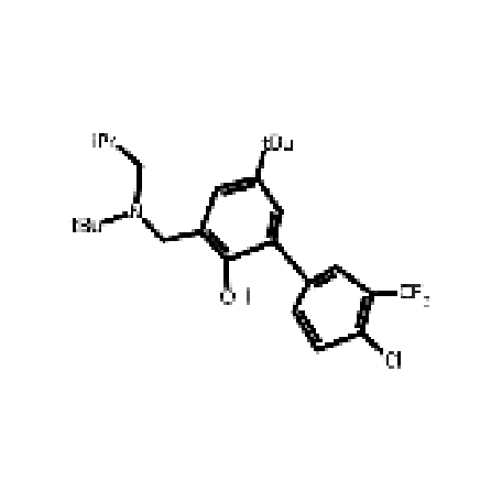 CC(C)CN(Cc1cc(C(C)(C)C)cc(-c2ccc(Cl)c(C(F)(F)F)c2)c1O)C(C)(C)C